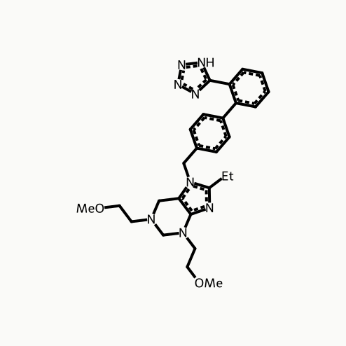 CCc1nc2c(n1Cc1ccc(-c3ccccc3-c3nnn[nH]3)cc1)CN(CCOC)CN2CCOC